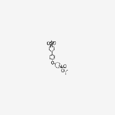 CC(C)OC(=O)N1CCC(Oc2ccc(C3CCN(S(C)(=O)=O)CC3)cc2)CC1